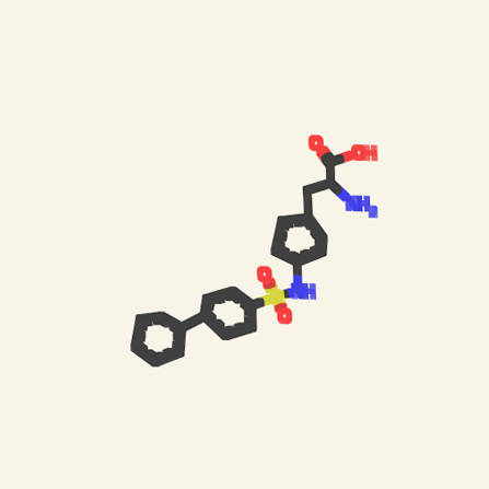 NC(Cc1ccc(NS(=O)(=O)c2ccc(-c3ccccc3)cc2)cc1)C(=O)O